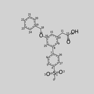 CS(=O)(=O)c1ccc(-c2cc(CC(=O)O)cc(OCc3ccccc3)c2)cc1